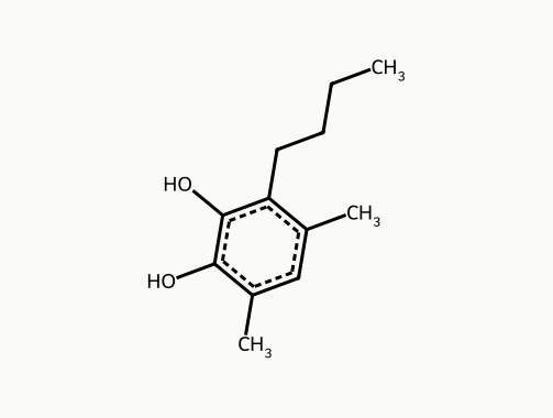 CCCCc1c(C)cc(C)c(O)c1O